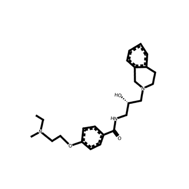 CCN(C)CCOc1ccc(C(=O)NC[C@H](O)CN2CCc3ccccc3C2)cc1